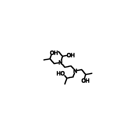 CC(O)CN(CCN(CC(C)O)C(C)O)CC(C)O